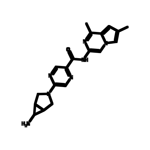 Cc1cc2c(C)nc(NC(=O)c3cnc(N4CC5C(N)C5C4)cn3)cn2c1